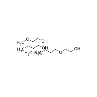 C=C.CCCCO.CCCCOCCO.COCCO